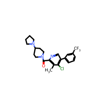 Cc1c(C(=O)N2CCC(N3CCCC3)CC2)ncc(-c2cccc(C(F)(F)F)c2)c1Cl